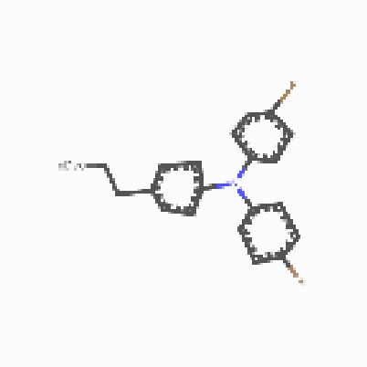 CCCCCCCCCCCCc1ccc(N(c2ccc(Br)cc2)c2ccc(Br)cc2)cc1